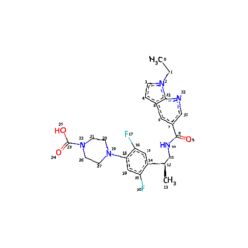 CCn1ccc2cc(C(=O)NC[C@@H](C)c3cc(F)c(N4CCN(C(=O)O)CC4)cc3F)cnc21